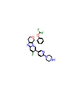 Fc1cc2nc3c(n2cc1-c1ccc(N2CCNCC2)nc1)[C@@H](c1ccccc1OC(F)F)OCC3